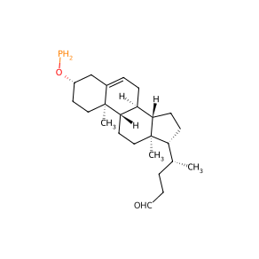 C[C@H](CCC=O)[C@H]1CC[C@H]2[C@@H]3CC=C4C[C@@H](OP)CC[C@]4(C)[C@H]3CC[C@]12C